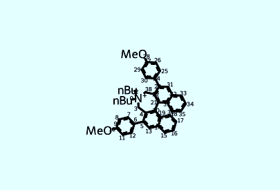 CCCC[N+]1(CCCC)Cc2c(-c3ccc(OC)cc3)cc3ccccc3c2-c2c(c(-c3ccc(OC)cc3)cc3ccccc23)C1